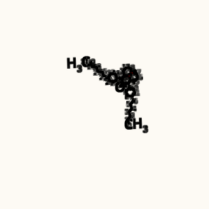 CCCCCCC[C@H]1CC[C@H](C(C(=O)C(C2CCCCC2)[C@H]2CC[C@H](CCCCCCC)CC2)C2CCCCC2)CC1